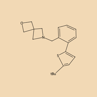 CC(C)(C)c1ccc(-c2ccccc2CN2CC3(COC3)C2)s1